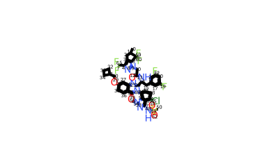 CC1Cc2c(C(F)F)nn(CC(=O)NC(Cc3cc(F)cc(F)c3)c3nc4cc(OCC5CCC5)ccc4c(=O)n3-c3ccc(Cl)c4c(NS(C)(=O)=O)nn(C)c34)c2C1(F)F